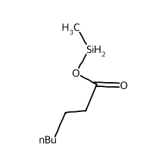 CCCCCCC(=O)O[SiH2]C